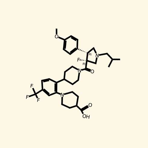 COc1ccc([C@@H]2CN(CC(C)C)C[C@@]2(F)C(=O)N2CCC(c3ccc(C(F)(F)F)cc3N3CCC(C(=O)O)CC3)CC2)cc1